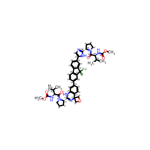 COC(=O)N[C@H](C(=O)N1CCC[C@H]1C1=NC2(COC2)c2ccc(-c3ccc4c(c3)C(F)(F)c3cc(-c5cnc([C@@H]6CCCN6C(=O)[C@@H](NC(=O)OC)C(C)C)[nH]5)ccc3-4)cc2N1)C(C)C